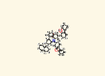 c1ccc(-c2ccc(-c3cccc4ccccc34)cc2N(c2cccc(-c3cccc4c3oc3ccccc34)c2)c2ccc3c(c2)oc2ccccc23)cc1